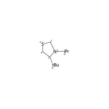 CC(C)N1CSCC1C(C)(C)C